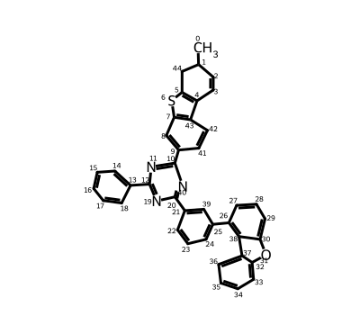 CC1C=Cc2c(sc3cc(-c4nc(-c5ccccc5)nc(-c5cccc(-c6cccc7oc8ccccc8c67)c5)n4)ccc23)C1